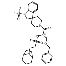 CS(=O)(=O)N1CC2(CCN(C(=O)[C@@H](COCc3ccccc3)NS(=O)(=O)CCN3C4CCCC3CC4)CC2)c2ccccc21